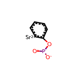 [O-]P([O-])Oc1ccccc1.[Sr+2]